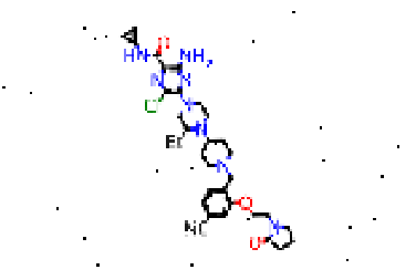 CC[C@H]1CN(c2nc(N)c(C(=O)NC3CC3)nc2Cl)CCN1C1CCN(Cc2ccc(C#N)cc2OCCN2CCCC2=O)CC1